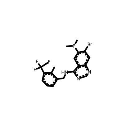 Cc1c(CNc2ncnc3cc(Br)c(P(C)C)cc23)cccc1C(F)(F)F